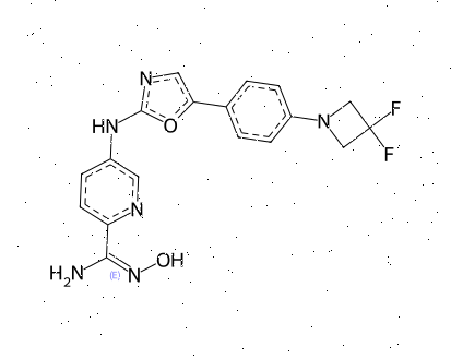 N/C(=N/O)c1ccc(Nc2ncc(-c3ccc(N4CC(F)(F)C4)cc3)o2)cn1